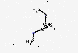 CCCCCCCC/C=C\CCCCCCCCOCCN(CCOCCCCCCCC/C=C\CCCCCCCC)CC(C)CO